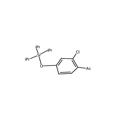 CC(=O)c1ccc(O[Si](C(C)C)(C(C)C)C(C)C)cc1Cl